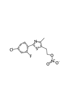 Cc1nc(-c2ccc(Cl)cc2F)sc1CCO[N+](=O)[O-]